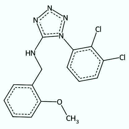 COc1ccccc1CNc1nnnn1-c1cccc(Cl)c1Cl